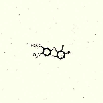 O=C(O)c1cc(Oc2c(F)ccc(Br)c2F)ccc1[N+](=O)[O-]